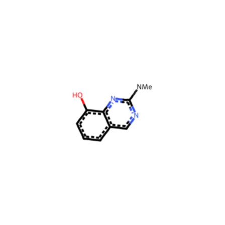 CNc1ncc2cccc(O)c2n1